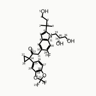 CC(C)(CCO)c1cc2cc(CC(=O)C3(c4ccc5c(c4)OC(F)(F)O5)CC3)c(F)cc2n1C[C@@H](O)CO